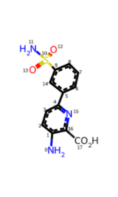 Nc1ccc(-c2cccc(S(N)(=O)=O)c2)nc1C(=O)O